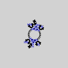 CN1C(C)(C)CC(N2CCCCCCN(C3CC(C)(C)N(C)C(C)(C)C3)c3nc(NC(C)(C)CC(C)(C)C)nc(n3)N(C3CC(C)(C)NC(C)(C)C3)CCCCCCN(C3CC(C)(C)NC(C)(C)C3)c3nc(NC(C)(C)CC(C)(C)C)nc2n3)CC1(C)C